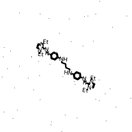 CCn1cc[n+](CC)c1N=Nc1ccc(NCCCCNc2ccc(N=Nc3n(CC)cc[n+]3CC)cc2)cc1